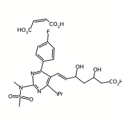 CC(C)c1nc(N(C)S(C)(=O)=O)nc(-c2ccc(F)cc2)c1/C=C/C(O)CC(O)CC(=O)O.O=C(O)/C=C\C(=O)O